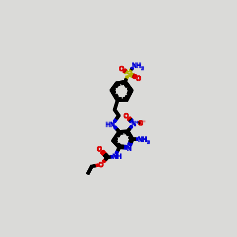 CCOC(=O)Nc1cc(NCCc2ccc(S(N)(=O)=O)cc2)c([N+](=O)[O-])c(N)n1